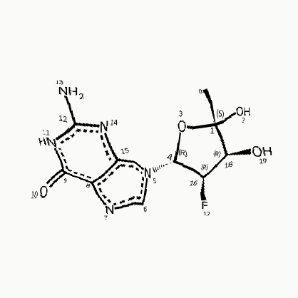 C[C@]1(O)O[C@@H](n2cnc3c(=O)[nH]c(N)nc32)[C@H](F)[C@@H]1O